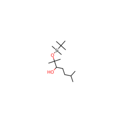 CC(C)CCC(O)C(C)(C)O[Si](C)(C)C(C)(C)C